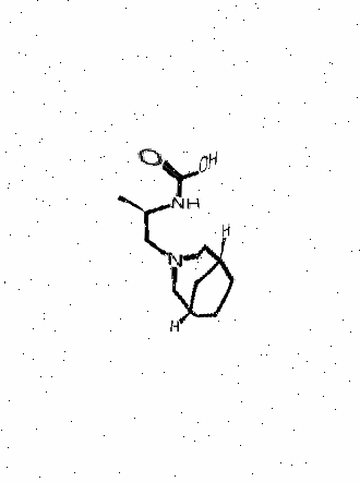 C[C@H](CN1C[C@@H]2CC[C@@H](C2)C1)NC(=O)O